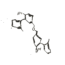 Cc1ccccc1-c1cc(COCc2ccc(C(C)C)c(-c3ccccc3C)c2)ccc1C(C)C